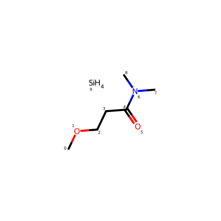 COCCC(=O)N(C)C.[SiH4]